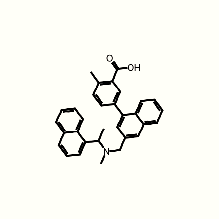 Cc1ccc(-c2cc(CN(C)C(C)c3cccc4ccccc34)cc3ccccc23)cc1C(=O)O